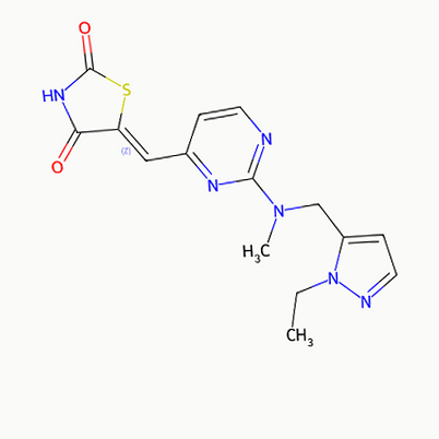 CCn1nccc1CN(C)c1nccc(/C=C2\SC(=O)NC2=O)n1